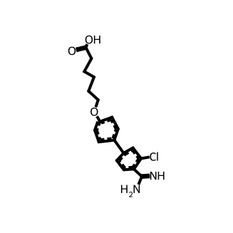 N=C(N)c1ccc(-c2ccc(OCCCCCC(=O)O)cc2)cc1Cl